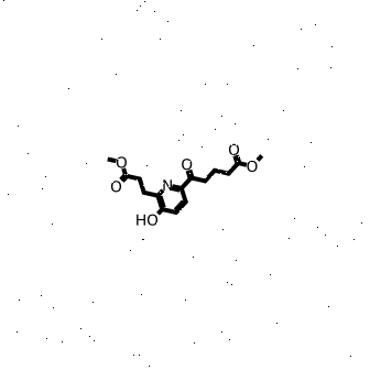 COC(=O)CCCC(=O)c1ccc(O)c(CCC(=O)OC)n1